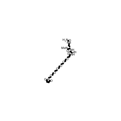 CNC(=O)[C@H](CCCNC(N)=O)NC(=O)[C@@H](NC(=O)CCOCCOCCOCCOCCOCCOCCN1C(=O)C=CC1=O)C(C)C